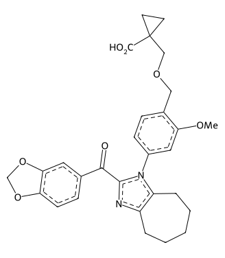 COc1cc(-n2c(C(=O)c3ccc4c(c3)OCO4)nc3c2CCCCC3)ccc1COCC1(C(=O)O)CC1